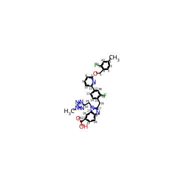 Cc1ccc(COc2cccc(-c3ccc(Cc4nc5ccc(C(=O)O)cc5n4Cc4nnn(C)n4)c(F)c3)n2)c(F)c1